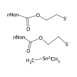 CCCCCCCCCC(=O)OCC[S-].CCCCCCCCCC(=O)OCC[S-].[CH3][Sn+2][CH3]